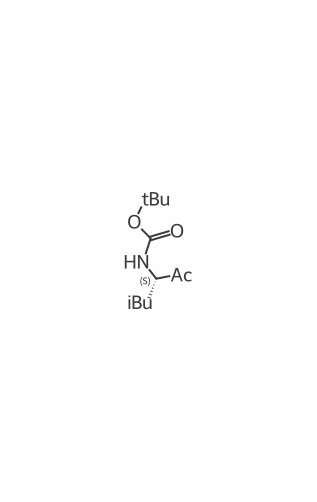 CCC(C)[C@H](NC(=O)OC(C)(C)C)C(C)=O